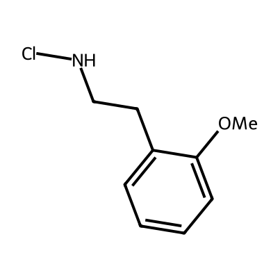 COc1ccccc1CCNCl